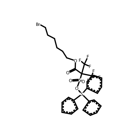 O=C(OCCCCCCBr)C(C(F)(F)F)(C(F)(F)F)S(=O)(=O)OS(c1ccccc1)(c1ccccc1)c1ccccc1